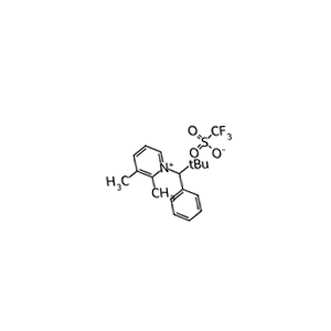 Cc1ccc[n+](C(c2ccccc2)C(C)(C)C)c1C.O=S(=O)([O-])C(F)(F)F